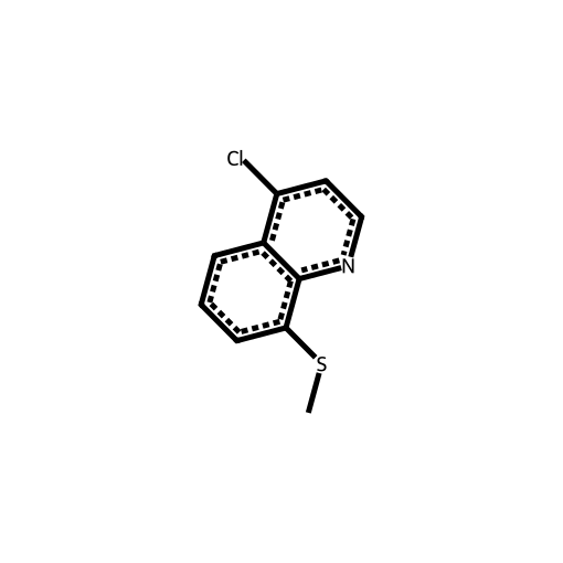 CSc1cccc2c(Cl)ccnc12